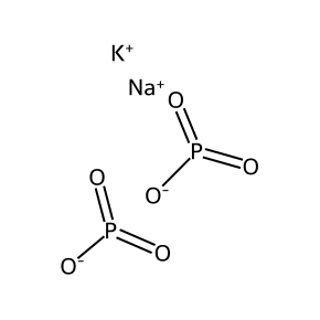 O=P(=O)[O-].O=P(=O)[O-].[K+].[Na+]